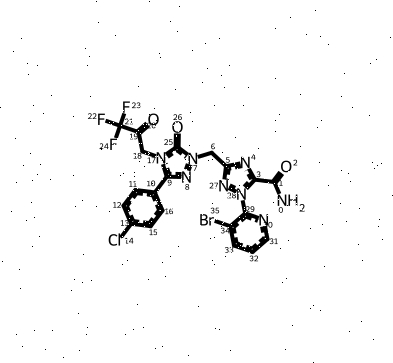 NC(=O)c1nc(Cn2nc(-c3ccc(Cl)cc3)n(CC(=O)C(F)(F)F)c2=O)nn1-c1ncccc1Br